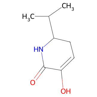 CC(C)C1CC=C(O)C(=O)N1